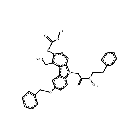 COCc1c(OC(=O)OC(C)C)ncc2c1c1cc(OCc3ccccc3)ccc1n2CC(=O)N(C)CCc1ccccc1